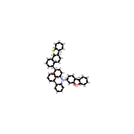 c1ccc(-c2ccccc2N(c2ccc(-c3cccc4c3ccc3c5ccccc5sc43)cc2)c2ccc3c(c2)oc2ccccc23)cc1